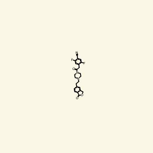 N#Cc1cc(F)c(CC(=O)N2CCN(CCc3ccc4c(c3)COC4=O)CC2)cc1F